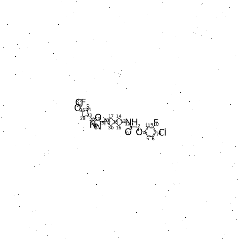 O=C(COc1ccc(Cl)c(F)c1)NC1CC2(C1)CN(c1nnc([C@H]3C[C@H](OC(F)(F)F)C3)o1)C2